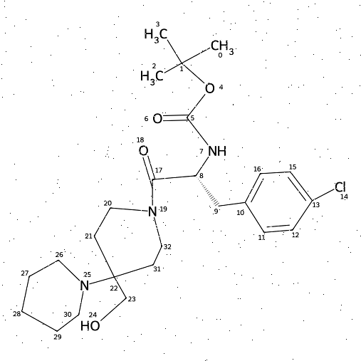 CC(C)(C)OC(=O)N[C@H](Cc1ccc(Cl)cc1)C(=O)N1CCC(CO)(N2CCCCC2)CC1